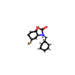 O=c1oc2ccc(Br)cc2n1Cc1ccccc1